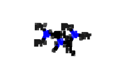 CC(C)N([SiH2]N(C)[SiH2]N(C(C)C)C(C)C)C(C)C